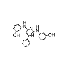 Oc1cccc(Nc2cc(-c3ccccc3)nc(Nc3cccc(O)c3)n2)c1